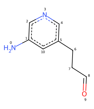 Nc1cncc(CCC=O)c1